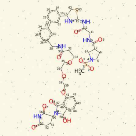 CS(=O)(=O)N1CCC(C(=O)NCC(=O)NC2NC(c3cccc(-c4cccc(CNC(=O)CCOCCOCCOc5cccc6c5C(=O)N(C5CCC(=O)NC5=O)C6O)c4)c3)CS2)C1